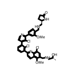 COc1cc(-c2nccc(-c3cccc(-c4ccc5c(OC)c(CNC[C@@H](C)O)cc(Cl)c5n4)c3Cl)c2Cl)ccc1CNC[C@H]1CCC(=O)N1